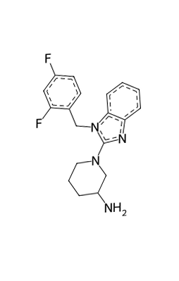 NC1CCCN(c2nc3ccccc3n2Cc2ccc(F)cc2F)C1